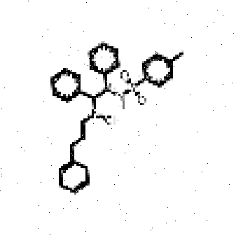 Cc1ccc(S(=O)(=O)N[C@H](c2ccccc2)C(c2ccccc2)N(Cl)CCCC2=CCC=CC2)cc1